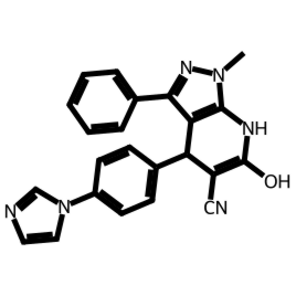 Cn1nc(-c2ccccc2)c2c1NC(O)=C(C#N)C2c1ccc(-n2ccnc2)cc1